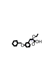 CCO/C(=C/c1cccc(OCc2ccccc2)c1)C(=O)O